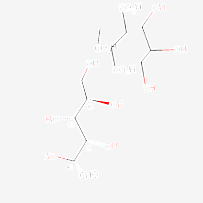 CC(=O)O.O=C(O)CCC(=O)O.O=C[C@H](O)[C@@H](O)[C@H](O)[C@H](O)CO.OCC(O)CO